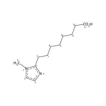 Cn1ccnc1CCCCCCCC(=O)O